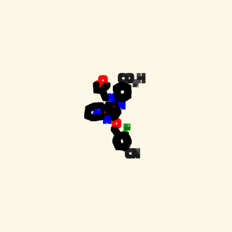 N#Cc1ccc(COc2cccc(N3C4CCC3CN(Cc3nc5ccc(C(=O)O)cc5n3CC3CCOC3)C4)n2)c(F)c1